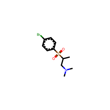 CC(CN(C)C)S(=O)(=O)c1ccc(Br)cc1